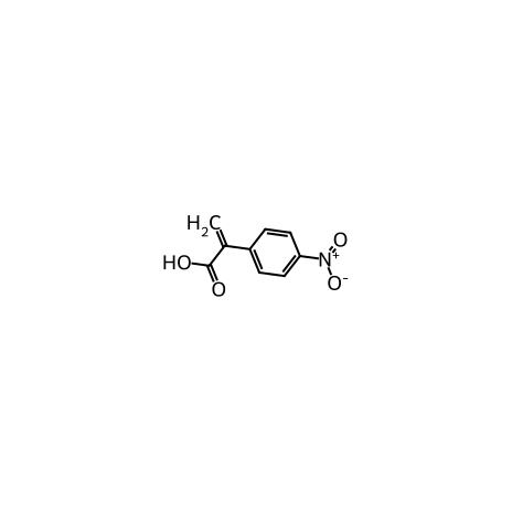 C=C(C(=O)O)c1ccc([N+](=O)[O-])cc1